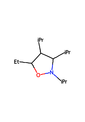 CCC1ON(C(C)C)C(C(C)C)C1C(C)C